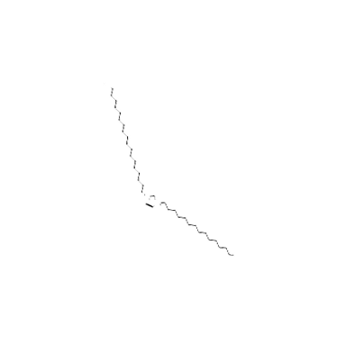 CCCCCCCCCCCCCCCCCCCN1C=CN(CCCCCCCCCCCCCCC)C1